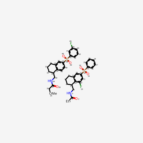 CCC(=O)NCC1CCCc2cc(S(=O)(=O)c3ccccc3)cc(F)c21.COCC(=O)NCC1CCCc2cc(S(=O)(=O)c3cccc(F)c3)ccc21